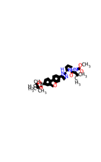 COC(=O)N[C@H](C(=O)N1CCC[C@H]1c1ncc(-c2ccc3c(c2)OCc2cc(B4OC(C)(C)C(C)(C)O4)ccc2-3)[nH]1)C(C)C